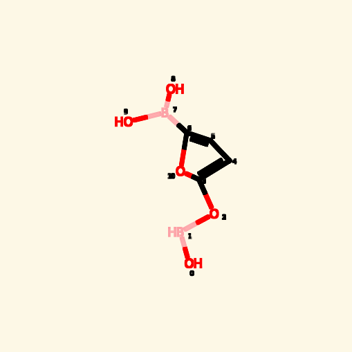 OBOc1ccc(B(O)O)o1